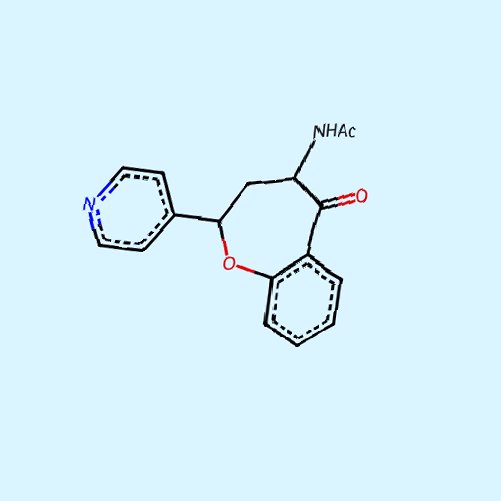 CC(=O)NC1CC(c2ccncc2)Oc2ccccc2C1=O